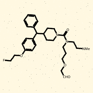 CNCCN(CCCOCC=O)C(=O)N1CCC(C(c2ccccc2)c2ccc(OCCF)cc2)CC1